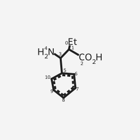 CCC(C(=O)O)C(N)c1ccccc1